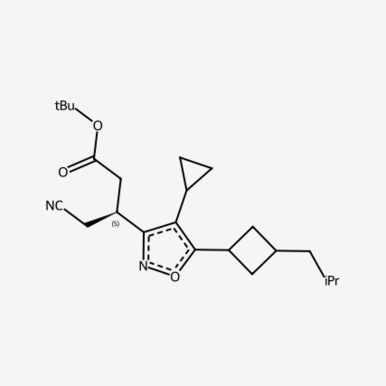 CC(C)CC1CC(c2onc([C@@H](CC#N)CC(=O)OC(C)(C)C)c2C2CC2)C1